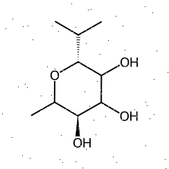 CC1O[C@H](C(C)C)C(O)C(O)[C@H]1O